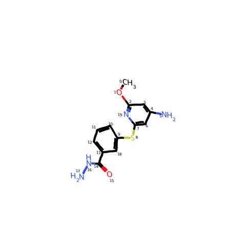 COc1cc(N)cc(Sc2cccc(C(=O)NN)c2)n1